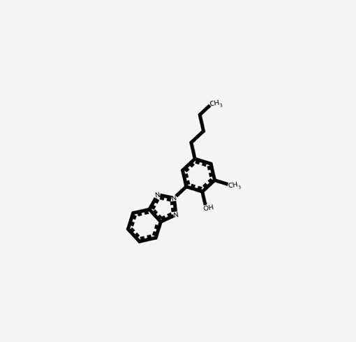 CCCCc1cc(C)c(O)c(-n2nc3ccccc3n2)c1